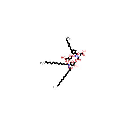 CCCCCCCCCCCCCC(=O)N[C@H]1[C@@H](OC(CC(=O)O)CC(=O)O)O[C@H](COC(=O)[C@@H](CCC(=O)O)NC(=O)c2ccc(CCCCCCCC)cc2)[C@@H](O)[C@@H]1OC(=O)CCCCCCCCCCCCC